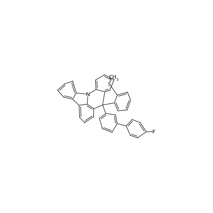 CSc1ccccc1C1(c2cccc(-c3ccc(F)cc3)c2)c2ccccc2-n2c3ccccc3c3cccc1c32